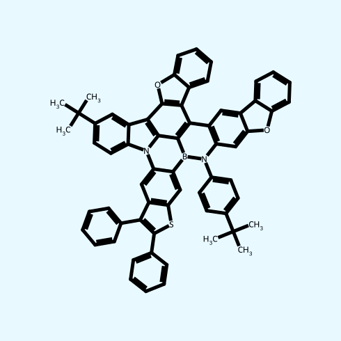 CC(C)(C)c1ccc(N2B3c4cc5sc(-c6ccccc6)c(-c6ccccc6)c5cc4-n4c5ccc(C(C)(C)C)cc5c5c6oc7ccccc7c6c(c3c54)-c3cc4c(cc32)oc2ccccc24)cc1